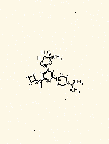 CC(C)N1CCN(c2cc(C(=O)OC(C)(C)C)cc(NC3CCC3)n2)CC1